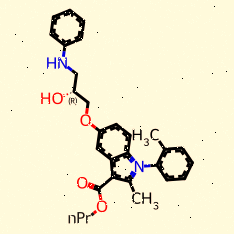 CCCOC(=O)c1c(C)n(-c2ccccc2C)c2ccc(OC[C@H](O)CNc3ccccc3)cc12